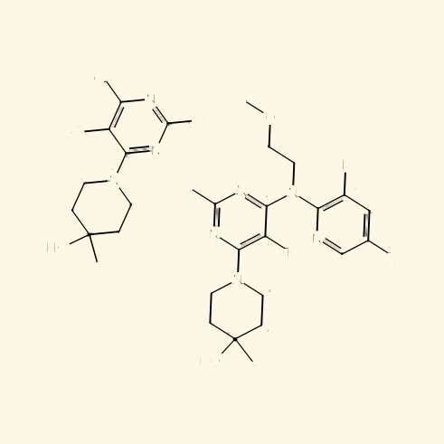 CC1(O)CCN(c2nc(Cl)nc(Cl)c2F)CC1.COCCN(c1ncc(F)cc1F)c1nc(Cl)nc(N2CCC(C)(O)CC2)c1F